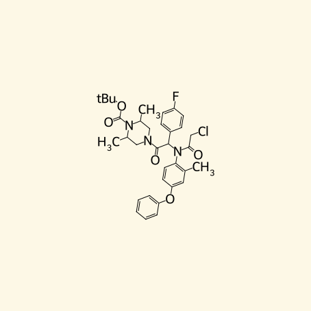 Cc1cc(Oc2ccccc2)ccc1N(C(=O)CCl)C(C(=O)N1CC(C)N(C(=O)OC(C)(C)C)C(C)C1)c1ccc(F)cc1